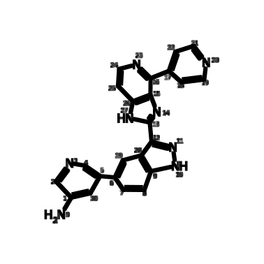 Nc1cncc(-c2ccc3[nH]nc(-c4nc5c(-c6ccncc6)nccc5[nH]4)c3c2)c1